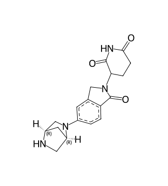 O=C1CCC(N2Cc3cc(N4C[C@H]5C[C@@H]4CN5)ccc3C2=O)C(=O)N1